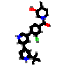 C[C@H]1CCN(C(=O)c2ccc(-c3cncc(-c4ccnc(C(C)(C)C)c4)c3)c(Cl)c2)C[C@@H]1O